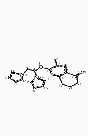 Cc1cc2c(cc1OC(Cn1ccnc1)n1ccnc1)CCCC2=O